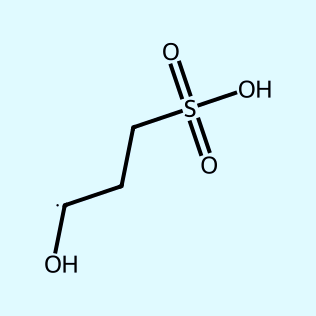 O=S(=O)(O)CC[CH]O